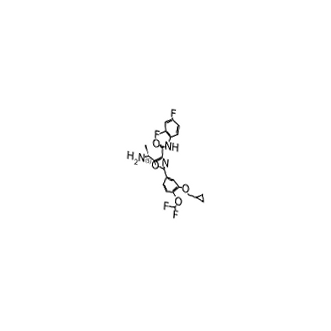 C[C@H](N)c1oc(-c2ccc(OC(F)F)c(OCC3CC3)c2)nc1C(=O)Nc1ccc(F)cc1F